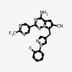 N#Cc1cc2c(N)nc(-c3cnc(C(F)(F)F)nc3)nn2c1Cc1cnn(-c2ccccc2F)c1